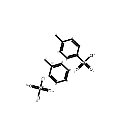 Cc1ccc(S(=O)(=O)Cl)cc1.Cc1ccccc1.O=S(=O)(Cl)Cl